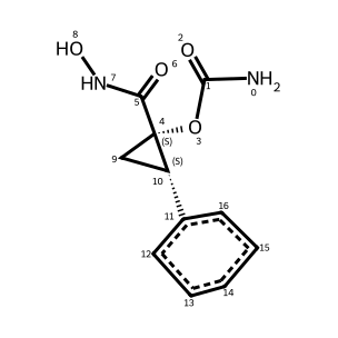 NC(=O)O[C@@]1(C(=O)NO)C[C@H]1c1ccccc1